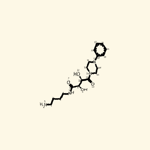 NCCCCNC(=O)[C@H](O)[C@@H](O)C(=O)N1CCN(c2ccccc2)CC1